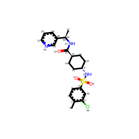 Cc1ccc(S(=O)(=O)N[C@H]2CC[C@H](C(=O)N[C@H](C)c3cccnc3)CC2)cc1Cl